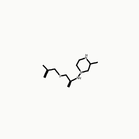 C=C(C)CSCC(=C)NN1CCNC(C)C1